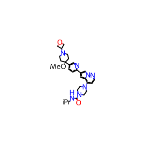 COC1(c2ccc(-c3cc4c(N5CCN(C(=O)NC(C)C)CC5)ccnn4c3)nc2)CCN(C2COC2)CC1